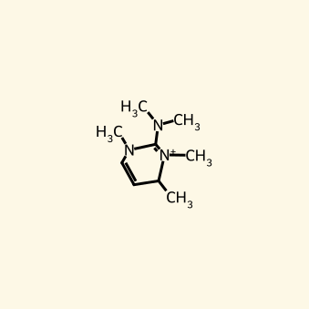 CC1C=CN(C)C(N(C)C)=[N+]1C